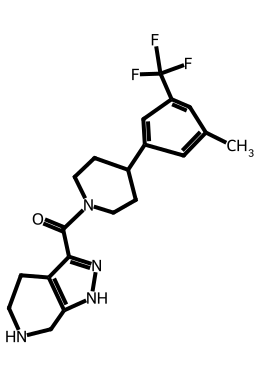 Cc1cc(C2CCN(C(=O)c3n[nH]c4c3CCNC4)CC2)cc(C(F)(F)F)c1